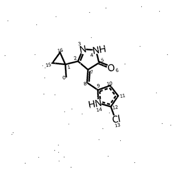 CC1(C2=NNC(=O)C2=Cc2ccc(Cl)[nH]2)CC1